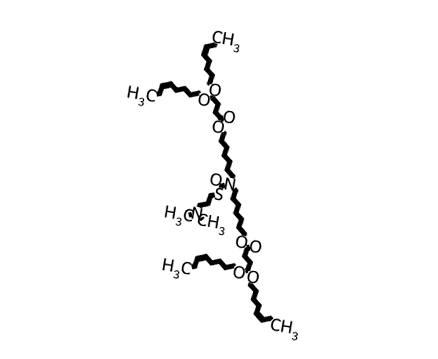 CC/C=C\CCCCOC(CCC(=O)OCCCCCCCN(CCCCCCCOC(=O)CCC(OCCCC/C=C\CC)OCCCC/C=C\CC)C(=O)SCCCN(C)C)OCCCC/C=C\CC